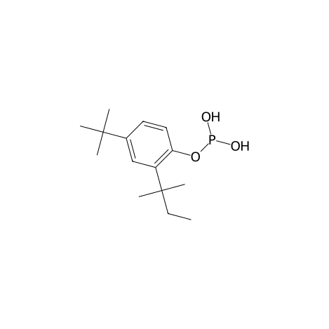 CCC(C)(C)c1cc(C(C)(C)C)ccc1OP(O)O